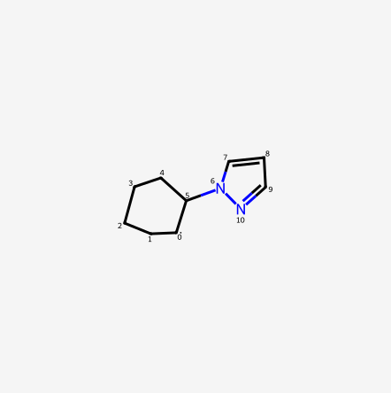 [CH]1CCCCC1n1cccn1